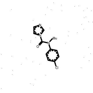 CCC(C)N(C(=O)n1ccnc1)c1ccc(Cl)cc1